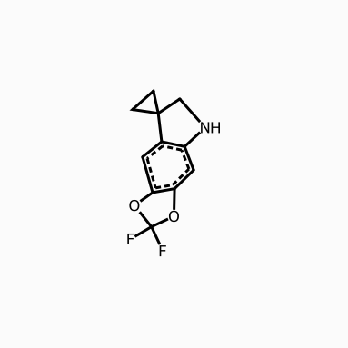 FC1(F)Oc2cc3c(cc2O1)C1(CC1)CN3